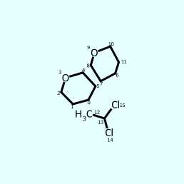 C1CCOCC1.C1CCOCC1.CC(Cl)Cl